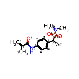 C=C(C)C(=O)Nc1ccc(C(C(C)=O)S(=O)(=O)N(C)C)cc1